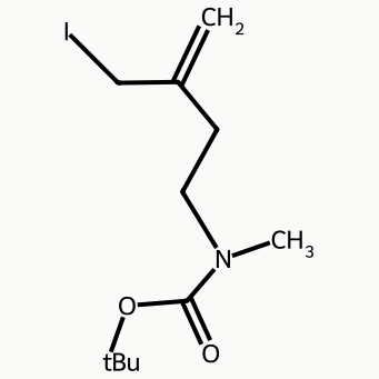 C=C(CI)CCN(C)C(=O)OC(C)(C)C